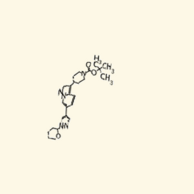 CC(C)(C)OC(=O)N1CCC(c2cnn3cc(-c4cnn(C5CCCCO5)c4)ccc23)CC1